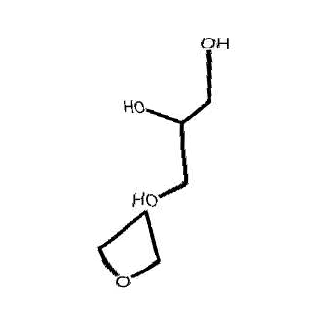 C1COC1.OCC(O)CO